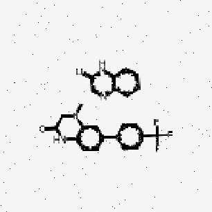 CN1CC(=O)Nc2ccc(-c3ccc(C(F)(F)F)cc3)cc21.O=c1cnc2ccccc2[nH]1